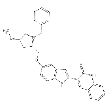 CO[C@@H]1C[C@@H](COc2ccc3[nH]c(-c4cc5ccccc5[nH]c4=O)cc3c2)N(Cc2ccccc2)C1